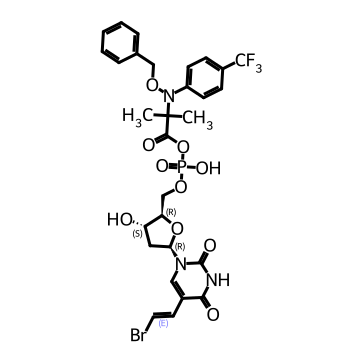 CC(C)(C(=O)OP(=O)(O)OC[C@H]1O[C@@H](n2cc(/C=C/Br)c(=O)[nH]c2=O)C[C@@H]1O)N(OCc1ccccc1)c1ccc(C(F)(F)F)cc1